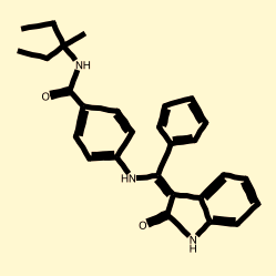 CCC(C)(CC)NC(=O)c1ccc(N/C(=C2\C(=O)Nc3ccccc32)c2ccccc2)cc1